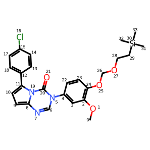 COc1cc(-n2cnc3ccc(-c4ccc(Cl)cc4)n3c2=O)ccc1OCOCC[Si](C)(C)C